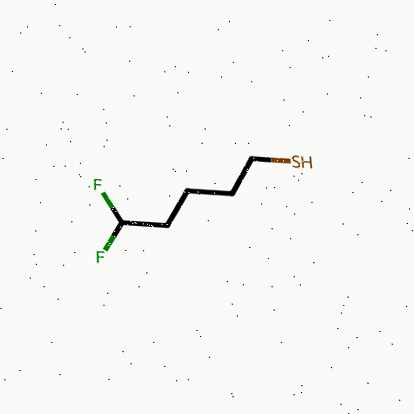 FC(F)CCCCS